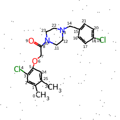 Cc1cc(Cl)c(OCC(=O)N2CCN(Cc3ccc(Cl)cc3)CC2)cc1C